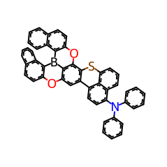 c1ccc(N(c2ccccc2)c2ccc3c4c(cccc24)Sc2c-3cc3c4c2Oc2ccc5ccccc5c2B4c2c(ccc4ccccc24)O3)cc1